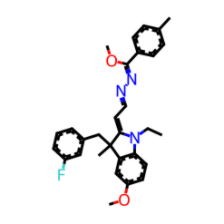 CCN1\C(=C/C=N/N=C(\OC)c2ccc(C)cc2)C(C)(Cc2cccc(F)c2)c2cc(OC)ccc21